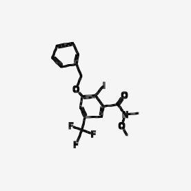 CON(C)C(=O)c1cc(C(F)(F)F)cc(OCc2ccccc2)c1I